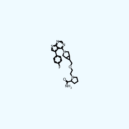 NC(=O)C1CCCN1CCOCC1C2CN(c3ncnc4scc(-c5ccc(F)cc5)c34)CC12